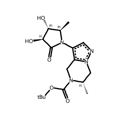 C[C@@H]1[C@@H](O)[C@H](O)C(=O)N1c1cnn2c1CN(C(=O)OC(C)(C)C)[C@@H](C)C2